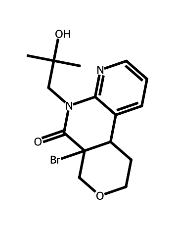 CC(C)(O)CN1C(=O)C2(Br)COCCC2c2cccnc21